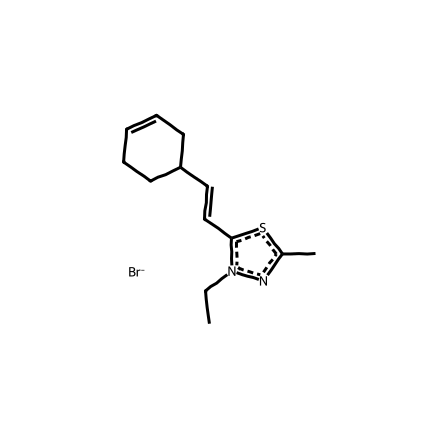 CC[n+]1nc(C)sc1C=CC1CC=CCC1.[Br-]